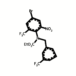 CCOC(=O)N(Cc1cccc(C(F)(F)F)c1)c1c([N+](=O)[O-])cc(Br)cc1C(F)(F)F